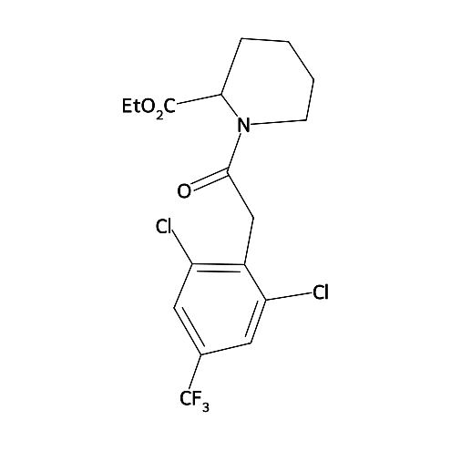 CCOC(=O)C1CCCCN1C(=O)Cc1c(Cl)cc(C(F)(F)F)cc1Cl